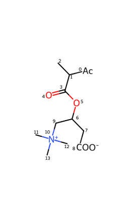 CC(=O)C(C)C(=O)OC(CC(=O)[O-])C[N+](C)(C)C